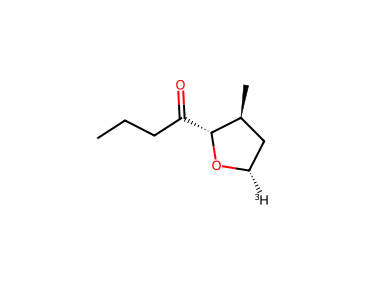 [3H][C@H]1C[C@H](C)[C@@H](C(=O)CCC)O1